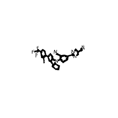 Cc1cc(C(F)(F)F)ccc1-c1ccc2c(c1)c1ccccc1n2-c1ccc(-c2ncc(C#N)cn2)cc1C#N